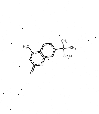 Cc1cc(=O)oc2cc(C(C)(C)C(=O)O)ccc12